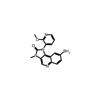 Bc1ccc2ncc3c(c2c1)n(-c1cccnc1OC)c(=O)n3C